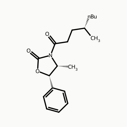 CCCC[C@H](C)CCC(=O)N1C(=O)O[C@@H](c2ccccc2)[C@H]1C